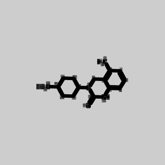 Cc1cccc2c1CN(C1CCC(C(=O)O)CC1)C(=O)N2